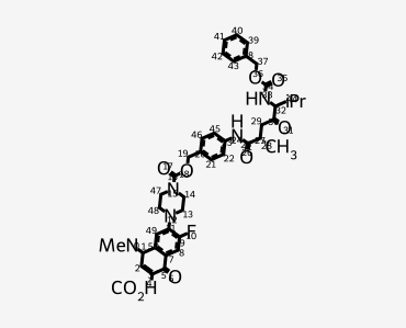 CNC1C=C(C(=O)O)C(=O)c2cc(F)c(N3CCN(C(=O)OCc4ccc(NC(=O)[C@@H](C)CC(=O)C(NC(=O)OCc5ccccc5)C(C)C)cc4)CC3)cc21